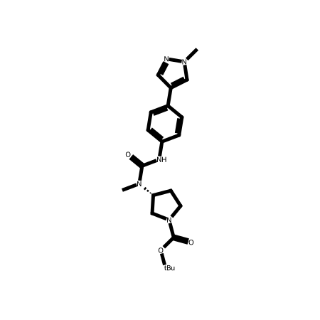 CN(C(=O)Nc1ccc(-c2cnn(C)c2)cc1)[C@@H]1CCN(C(=O)OC(C)(C)C)C1